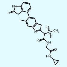 CS(=O)(=O)C(C(=O)NCC(=O)NC1CC1)c1nc2cc(F)c(-c3cccc4c3CC(=O)N4)cc2s1